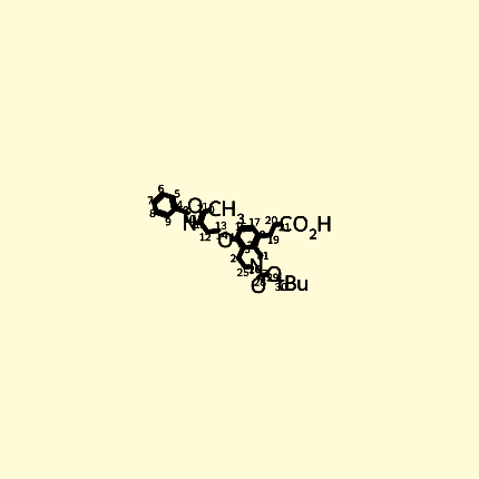 Cc1oc(-c2ccccc2)nc1CCOc1ccc(CCC(=O)O)c2c1CCN(C(=O)OC(C)(C)C)C2